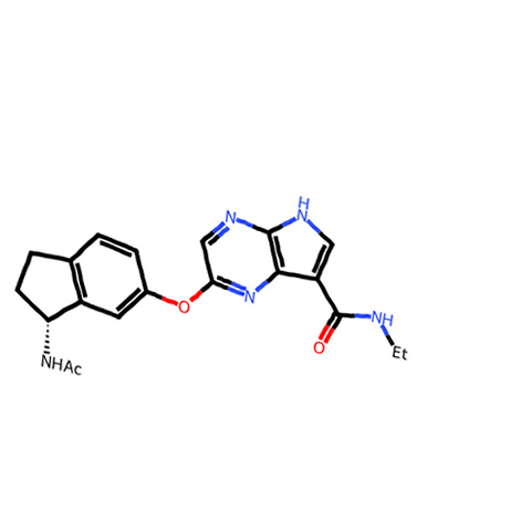 CCNC(=O)c1c[nH]c2ncc(Oc3ccc4c(c3)[C@H](NC(C)=O)CC4)nc12